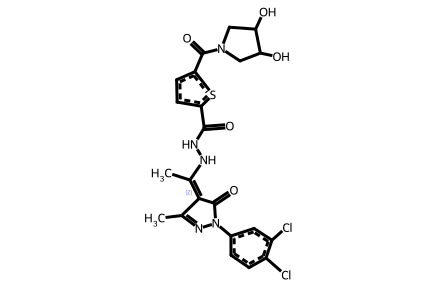 CC1=NN(c2ccc(Cl)c(Cl)c2)C(=O)/C1=C(/C)NNC(=O)c1ccc(C(=O)N2CC(O)C(O)C2)s1